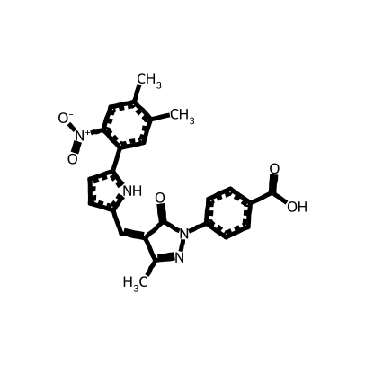 CC1=NN(c2ccc(C(=O)O)cc2)C(=O)C1=Cc1ccc(-c2cc(C)c(C)cc2[N+](=O)[O-])[nH]1